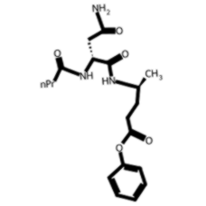 CCCC(=O)N[C@H](CC(N)=O)C(=O)N[C@@H](C)CCC(=O)Oc1ccccc1